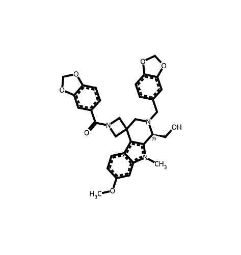 COc1ccc2c3c(n(C)c2c1)[C@H](CO)N(Cc1ccc2c(c1)OCO2)CC31CN(C(=O)c2ccc3c(c2)OCO3)C1